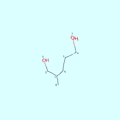 CC(CO)CCCO